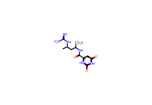 CC(CC(NC(=O)c1cc(=O)[nH]c(=O)[nH]1)C(=O)O)NC(=N)N